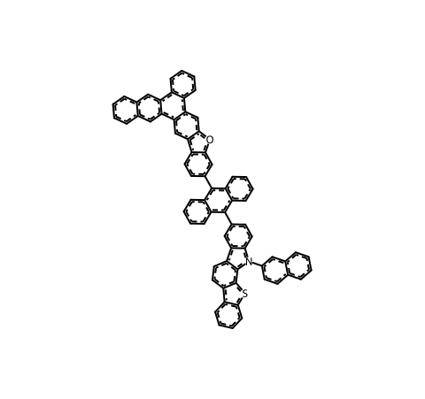 c1ccc2cc(-n3c4ccc(-c5c6ccccc6c(-c6ccc7c(c6)oc6cc8c9ccccc9c9cc%10ccccc%10cc9c8cc67)c6ccccc56)cc4c4ccc5c6ccccc6sc5c43)ccc2c1